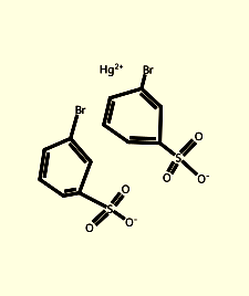 O=S(=O)([O-])c1cccc(Br)c1.O=S(=O)([O-])c1cccc(Br)c1.[Hg+2]